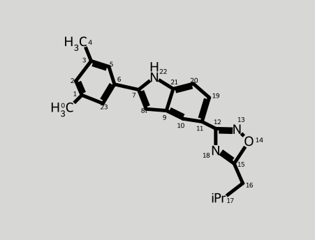 Cc1cc(C)cc(-c2[c]c3cc(-c4noc(CC(C)C)n4)ccc3[nH]2)c1